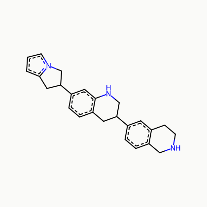 c1cc2n(c1)CC(c1ccc3c(c1)NCC(c1ccc4c(c1)CCNC4)C3)C2